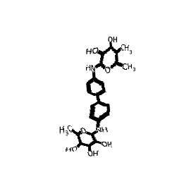 CC1OC(Nc2ccc(-c3ccc(NC4OC(C)C(O)C(O)C4O)cc3)cc2)C(O)C(O)C1C